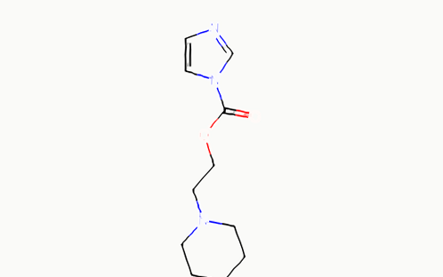 O=C(OCCN1CCCCC1)n1ccnc1